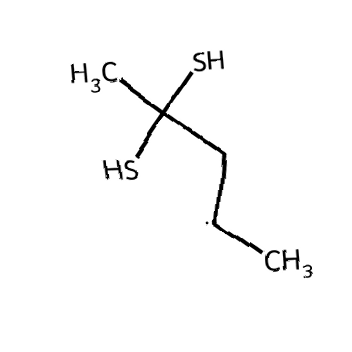 C[CH]CC(C)(S)S